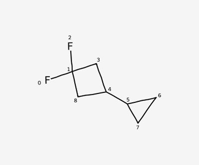 FC1(F)CC(C2CC2)C1